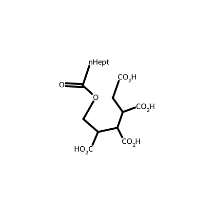 CCCCCCCC(=O)OCC(C(=O)O)C(C(=O)O)C(CC(=O)O)C(=O)O